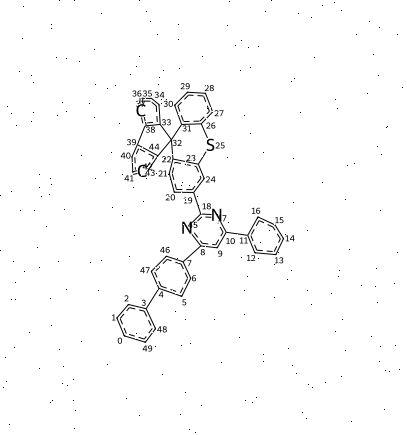 c1ccc(-c2ccc(-c3cc(-c4ccccc4)nc(-c4ccc5c(c4)Sc4ccccc4C54c5ccccc5-c5ccccc54)n3)cc2)cc1